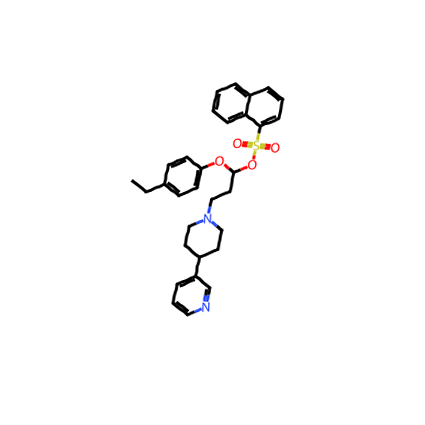 CCc1ccc(OC(CCN2CCC(c3cccnc3)CC2)OS(=O)(=O)c2cccc3ccccc23)cc1